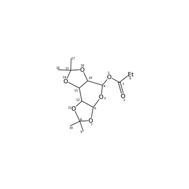 CCC(=O)OC1OC2OC(C)(C)OC2C2OC(C)(C)OC12